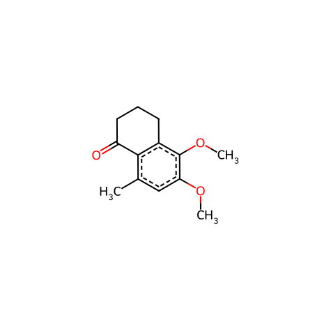 COc1cc(C)c2c(c1OC)CCCC2=O